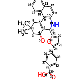 CC1(C)CC(=O)C2=C(C1)c1c(ccc3ccccc13)NC2c1ccc(-c2ccc(C(=O)O)cc2)o1